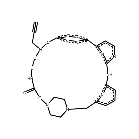 C#CCN1CCNC(=O)CN2CCN(CC2)Cc2cccc(c2)Nc2nccc(n2)-c2ccc(nc2)C1